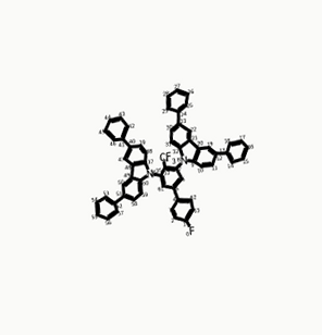 Fc1ccc(-c2cc(-n3c4ccc(-c5ccccc5)cc4c4cc(-c5ccccc5)ccc43)c(C(F)(F)F)c(-n3c4ccc(-c5ccccc5)cc4c4cc(-c5ccccc5)ccc43)c2)cc1